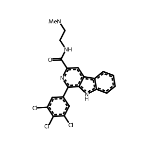 CNCCNC(=O)c1cc2c([nH]c3ccccc32)c(-c2cc(Cl)c(Cl)c(Cl)c2)n1